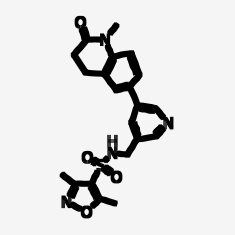 Cc1noc(C)c1S(=O)(=O)NCc1cncc(-c2ccc3c(c2)CCC(=O)N3C)c1